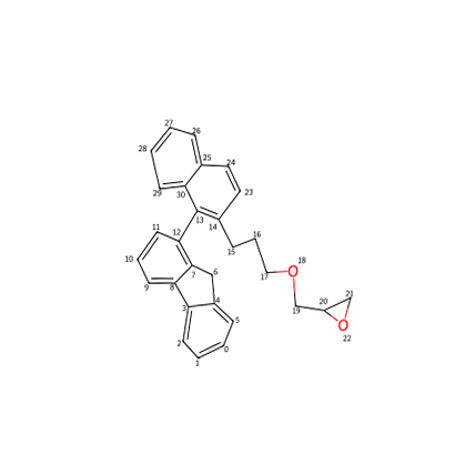 c1ccc2c(c1)Cc1c-2cccc1-c1c(CCCOCC2CO2)ccc2ccccc12